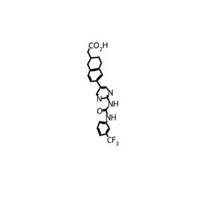 O=C(O)CC1CCc2cc(-c3cnc(NC(=O)Nc4cccc(C(F)(F)F)c4)nc3)ccc2C1